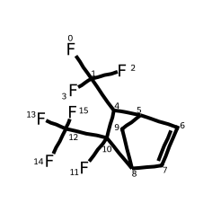 FC(F)(F)C1C2C=CC(C2)C1(F)C(F)(F)F